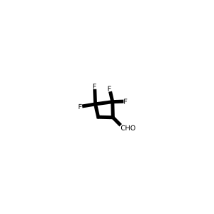 O=CC1CC(F)(F)C1(F)F